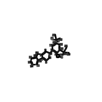 COc1c(-c2ccc3c(c2)Cc2ccccc2-3)cc(C(C)(C)C)cc1C(C)(C)C